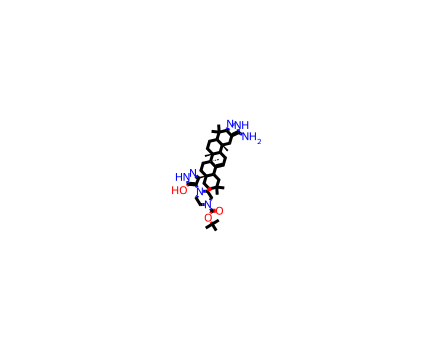 CC1(C)CC[C@]2(c3n[nH]c(O)c3N3CCN(C(=O)OC(C)(C)C)CC3)CC[C@]3(C)C(=CCC4[C@@]5(C)Cc6c(n[nH]c6N)C(C)(C)C5CC[C@]43C)C2C1